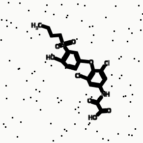 CCCCS(=O)(=O)c1cc(Oc2c(Cl)cc(NC(=O)C(=O)O)cc2Cl)ccc1O